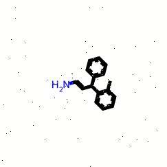 Cc1ccccc1C(C=CN)c1ccccc1